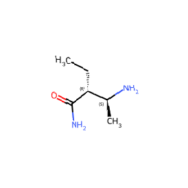 CC[C@@H](C(N)=O)[C@H](C)N